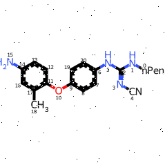 CCCCCNC(=NC#N)Nc1ccc(Oc2ccc(N)cc2C)cc1